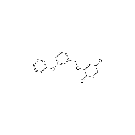 O=C1C=CC(=O)C(OCc2cccc(Oc3ccccc3)c2)=C1